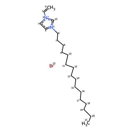 C=C[n+]1ccn(CCCCCCCCCCCCCCCC)c1.[Br-]